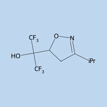 CC(C)C1=NOC(C(O)(C(F)(F)F)C(F)(F)F)C1